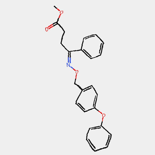 COC(=O)CC/C(=N/OCc1ccc(Oc2ccccc2)cc1)c1ccccc1